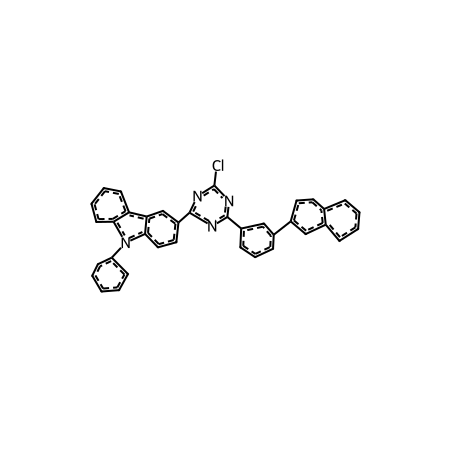 Clc1nc(-c2cccc(-c3ccc4ccccc4c3)c2)nc(-c2ccc3c(c2)c2ccccc2n3-c2ccccc2)n1